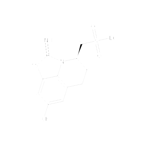 CCS(=O)(=O)C[C@H]1CCc2cc(C(F)(F)F)cc3sc(=N)n1c23